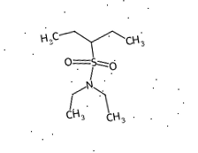 CCC(CC)S(=O)(=O)N(CC)CC